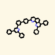 C1=CCC(c2cc(-c3ccccc3)c3ccc4ccc(-c5ccc(-c6cccc(-c7cc(-c8ccccc8)cc(-c8ccccc8)n7)c6)cc5)nc4c3n2)CC1